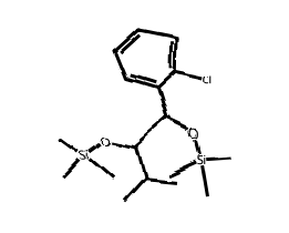 CC(C)C(O[Si](C)(C)C)C(O[Si](C)(C)C)c1ccccc1Cl